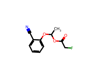 CC(OC(=O)CF)Oc1ccccc1C#N